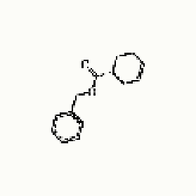 O=C(OCc1ccccc1)[C@H]1CC=CCC1